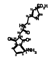 Nc1cccc2c1C(=O)N(CC(=O)NCCc1cn(C(=O)O)cn1)C2=O